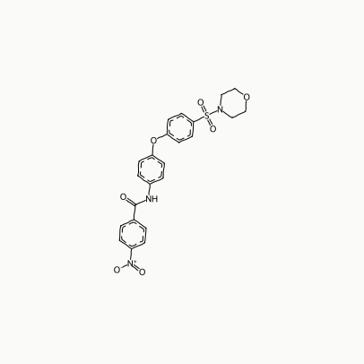 O=C(Nc1ccc(Oc2ccc(S(=O)(=O)N3CCOCC3)cc2)cc1)c1ccc([N+](=O)[O-])cc1